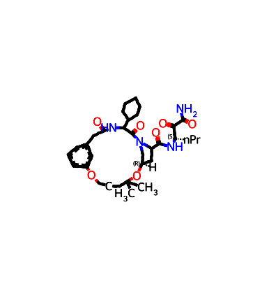 CCC[C@H](NC(=O)C1C[C@@H]2CN1C(=O)C(C1CCCCC1)NC(=O)Cc1cccc(c1)OCCCC(C)(C)O2)C(=O)C(N)=O